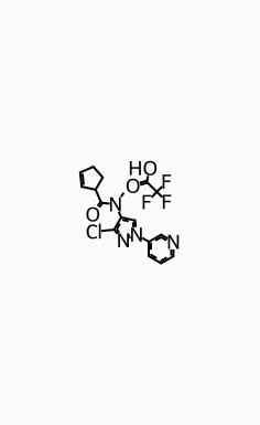 CN(C(=O)C1C=CCC1)c1cn(-c2cccnc2)nc1Cl.O=C(O)C(F)(F)F